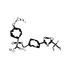 COc1ccc(S(=O)(=NCc2ccc(-c3noc(C(F)(F)F)n3)cc2)C(C)C)cc1